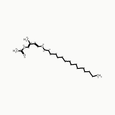 CCCCCCCCCCCCCCCCOC=CC(C)=COC(C)=O